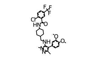 COc1ccc(-c2c(C)nn(C)c2NCC2CCC(NC(=O)c3cc(C(F)(F)F)ccc3Cl)CC2)cc1OC